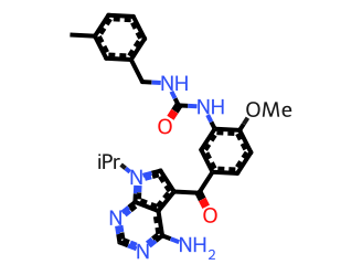 COc1ccc(C(=O)c2cn(C(C)C)c3ncnc(N)c23)cc1NC(=O)NCc1cccc(C)c1